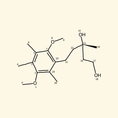 COc1c(C)c(C)c(OC)c(CC[C@](C)(O)CCO)c1C